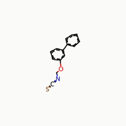 S=C=NCOc1cccc(-c2ccccc2)c1